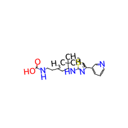 CC(C)(C)C(CCCCNC(=O)O)Nc1nc(-c2cccnc2)cs1